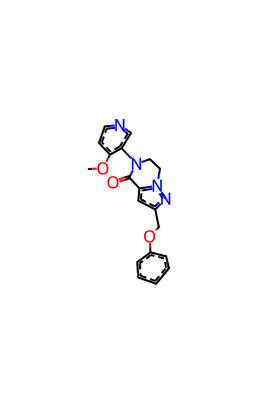 COc1ccncc1N1CCn2nc(COc3ccccc3)cc2C1=O